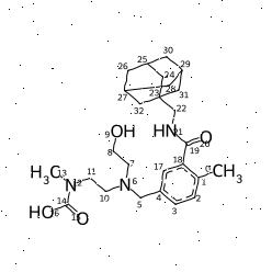 Cc1ccc(CN(CCO)CCN(C)C(=O)O)cc1C(=O)NCC12CC3CC(CC(C3)C1)C2